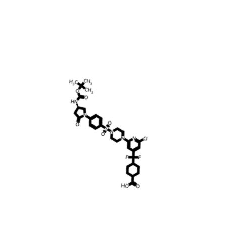 CC(C)(C)OC(=O)N[C@@H]1CC(=O)N(c2ccc(S(=O)(=O)N3CCN(c4cc(C(F)(F)C5CCC(C(=O)O)CC5)cc(Cl)n4)CC3)cc2)C1